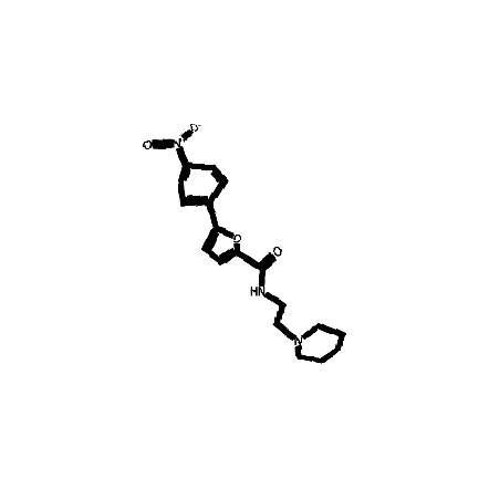 O=C(NCCN1CCCCC1)c1ccc(-c2ccc([N+](=O)[O-])cc2)o1